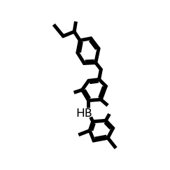 CCC(C)c1ccc(Cc2cc(C)c(Bc3c(C)cc(C)cc3C)c(C)c2)cc1